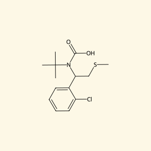 CSCC(c1ccccc1Cl)N(C(=O)O)C(C)(C)C